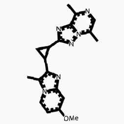 COc1ccn2c(C)c(C3CC3c3nc4c(C)ncc(C)n4n3)nc2c1